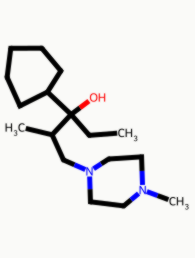 CCC(O)(C(C)CN1CCN(C)CC1)C1CCCCC1